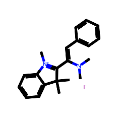 CN(C)C(=Cc1ccccc1)C1=[N+](C)c2ccccc2C1(C)C.[I-]